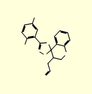 C=CCC1COc2ccccc2C12NN=C(c1cc(F)ccc1F)S2